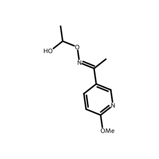 COc1ccc(C(C)=NOC(C)O)cn1